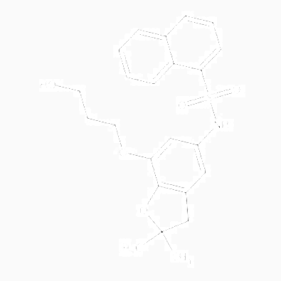 CC1(C)Cc2cc(NS(=O)(=O)c3cccc4ccccc34)cc(OCCCO)c2O1